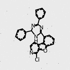 Clc1nccc2c1oc1cccc(C3=NC(c4ccccc4)=NC(c4ccccc4)N3)c12